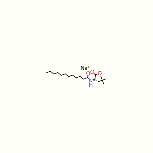 CCCCCCCCCCCC(=O)N[C@@H](CC(C)(C)C)C(=O)[O-].[Na+]